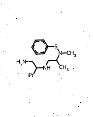 CC(C)C(CN)NCC(C)N(C)Sc1ccccc1